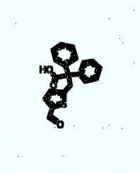 O=Cc1ccc(CC(C(=O)O)(c2ccccc2)c2ccccc2)s1